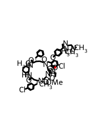 COC[C@@H]1NC(=O)[C@H](CC(=O)N2CCOCC2)N(Cc2ccc(Cl)cc2Oc2ccc(-c3cnc(CN(C)C)n3C)cc2)C(=O)C[C@@H](Cc2ccccc2)C(=O)N(C)[C@H]2CCCC[C@@H]2NC(=O)C[C@H](Cc2ccc(Cl)cc2)N(C)C1=O